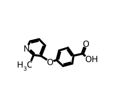 Cc1ncccc1Oc1ccc(C(=O)O)cc1